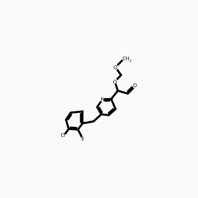 COCOC(C=O)c1ccc(Cc2cccc(Cl)c2F)cn1